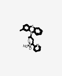 Cc1ccc2c(c1)N(C(C)CC(c1ccccn1)S(=O)(=O)O)c1ccccc1S2